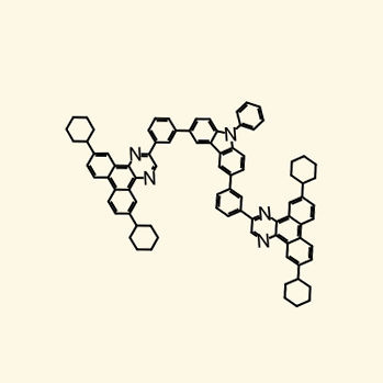 c1ccc(-n2c3ccc(-c4cccc(-c5cnc6c7cc(C8CCCCC8)ccc7c7ccc(C8CCCCC8)cc7c6n5)c4)cc3c3cc(-c4cccc(-c5cnc6c7cc(C8CCCCC8)ccc7c7ccc(C8CCCCC8)cc7c6n5)c4)ccc32)cc1